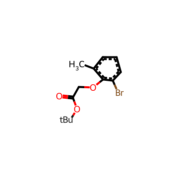 Cc1cccc(Br)c1OCC(=O)OC(C)(C)C